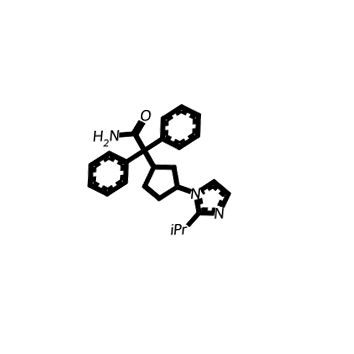 CC(C)c1nccn1C1CCC(C(C(N)=O)(c2ccccc2)c2ccccc2)C1